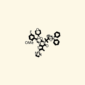 COc1ccc(F)cc1[C@H](Cn1c(=O)n(C(C)(C)C(=O)O[Si](c2ccccc2)(c2ccccc2)C(C)(C)C)c(=O)c2c(C)c(-n3nccn3)sc21)OC1CCOCC1